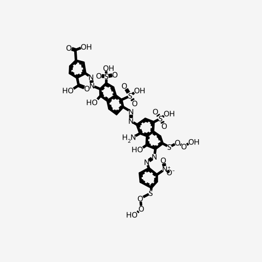 Nc1c(N=Nc2ccc3c(O)c(N=Nc4cc(C(=O)O)ccc4C(=O)O)c(S(=O)(=O)O)cc3c2S(=O)(=O)O)cc(S(=O)(=O)O)c2cc(SOOO)c(N=Nc3ccc(SOOO)cc3[N+](=O)[O-])c(O)c12